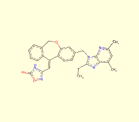 CCc1nc2c(C)cc(C)nc2n1Cc1ccc2c(c1)OCc1ccccc1C2=Cc1noc(=O)[nH]1